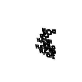 Cc1nc(N[C@@H](C)c2cc3cc(Cl)ccc3[nH]c2=O)nc(N2C(=O)OC3(CC3)[C@@H]2C(C)C)n1